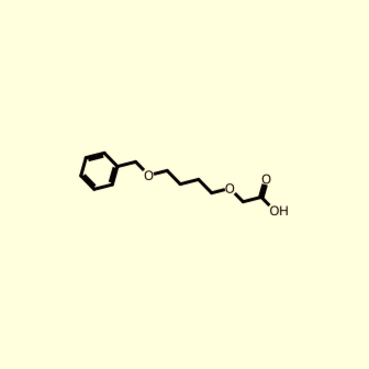 O=C(O)COCCCCOCc1ccccc1